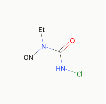 CCN(N=O)C(=O)NCl